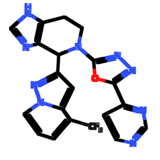 FC(F)(F)c1cccn2nc(C3c4nc[nH]c4CCN3c3nnc(-c4ccncn4)o3)cc12